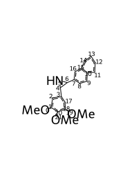 COc1cc(C2NC2c2ccc3ccccc3c2)cc(OC)c1OC